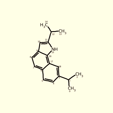 CC(C)c1ccc2ccc3cc(C(C)C)[nH]c3c2c1